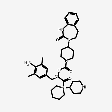 Cc1cc(C[C@@H](OC(=O)N2CCC(N3CCc4ccccc4NC3=O)CC2)C(=O)[N+]2(C3CCNCC3)CCCCC2)cc(C)c1N